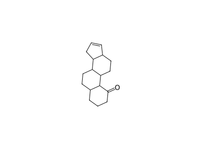 O=C1CCCC2CCC3C4CC=CC4CCC3C12